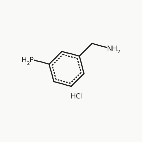 Cl.NCc1cccc(P)c1